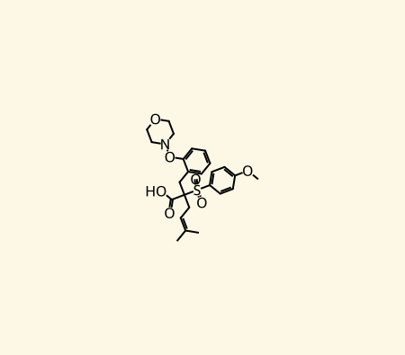 COc1ccc(S(=O)(=O)C(CC=C(C)C)(Cc2ccccc2ON2CCOCC2)C(=O)O)cc1